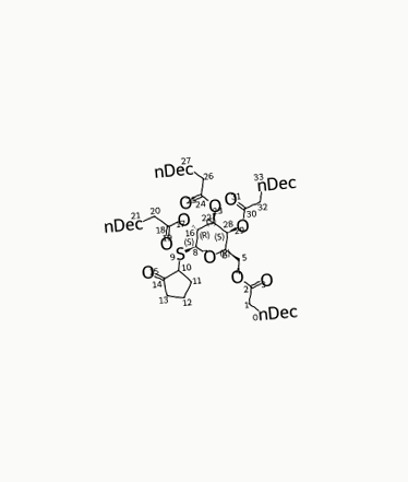 CCCCCCCCCCCC(=O)OC[C@H]1O[C@@H](SC2CCCC2=O)[C@H](OC(=O)CCCCCCCCCCC)[C@@H](OC(=O)CCCCCCCCCCC)[C@H]1OC(=O)CCCCCCCCCCC